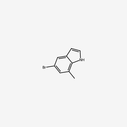 Cc1cc(Br)cc2cc[nH]c12